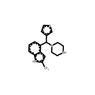 FC(F)(F)c1cc2c(C(c3ccsc3)N3CCNCC3)cccc2[nH]1